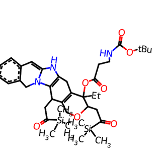 CCC1(OC(=O)CCNC(=O)OC(C)(C)C)C2=C(COC1CC(=O)[Si](C)(C)C)C(CC(=O)[Si](C)(C)C)C1=C(C2)NC2=Cc3ccccc3CN21